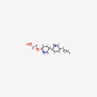 CCc1ccc(-c2ccc(OCCO)nc2)nc1